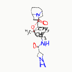 CC(C)(C)OC(=O)N1C2CCC1CC(c1ccc(NC(=O)C3CNC3)cc1)C2